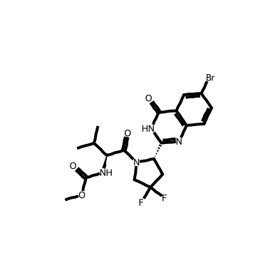 COC(=O)N[C@H](C(=O)N1CC(F)(F)C[C@H]1c1nc2ccc(Br)cc2c(=O)[nH]1)C(C)C